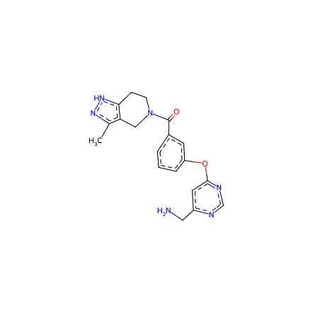 Cc1n[nH]c2c1CN(C(=O)c1cccc(Oc3cc(CN)ncn3)c1)CC2